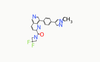 Cn1cc(-c2ccc(-c3cncc4ccc(C(=O)N5CC(F)(F)C5)nc34)cc2)cn1